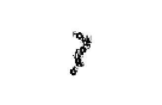 COc1cc2c(Oc3ccc(CC(=O)C4(C(=O)Nc5ccc(F)cc5)CC4)cc3F)ncnc2cc1OCc1ccccc1